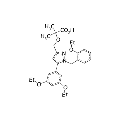 CCOc1cc(OCC)cc(-c2cc(COC(C)(C)C(=O)O)nn2Cc2ccccc2OCC)c1